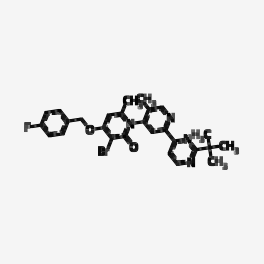 Cc1cnc(-c2ccnc(C(C)(C)C)n2)cc1-n1c(C)cc(OCc2ccc(F)cc2)c(Br)c1=O